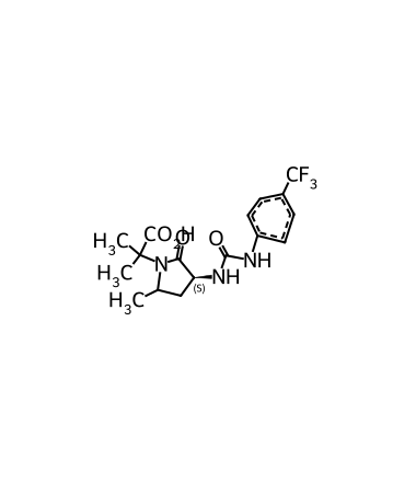 CC1C[C@H](NC(=O)Nc2ccc(C(F)(F)F)cc2)C(=O)N1C(C)(C)C(=O)O